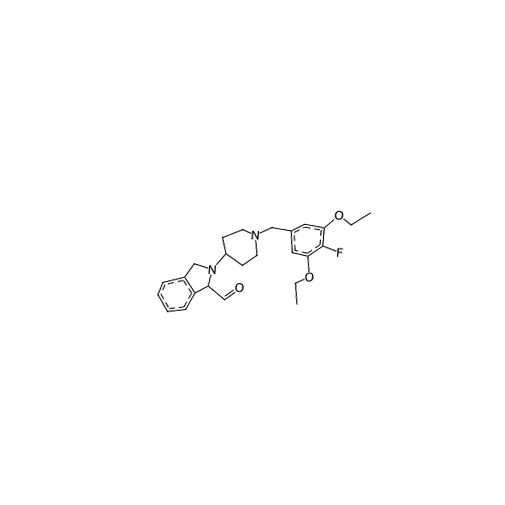 CCOc1cc(CN2CCC(N3Cc4ccccc4C3C=O)CC2)cc(OCC)c1F